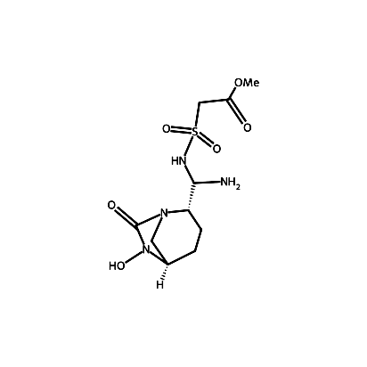 COC(=O)CS(=O)(=O)NC(N)[C@@H]1CC[C@@H]2CN1C(=O)N2O